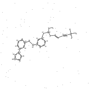 CCN(CC=CC#CC(C)(C)C)Cc1cccc(OCc2cccc(-c3ccoc3)c2)c1